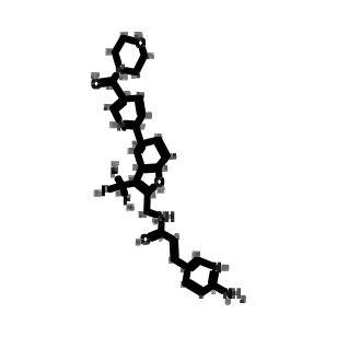 Nc1ccc(C=CC(=O)NCc2oc3ccc(-c4ccc(C(=O)N5CCOCC5)cn4)cc3c2C(F)(F)F)cn1